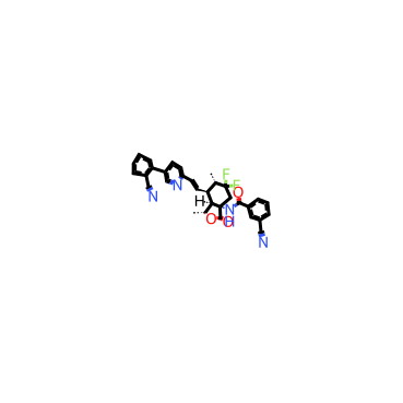 C[C@H]1OC(=O)[C@]2(NC(=O)c3cccc(C#N)c3)CC(F)(F)[C@@H](C)[C@H](/C=C/c3ccc(-c4ccccc4C#N)cn3)[C@H]12